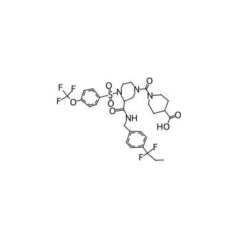 CCC(F)(F)c1ccc(CNC(=O)C2CN(C(=O)N3CCC(C(=O)O)CC3)CCN2S(=O)(=O)c2ccc(OC(F)(F)F)cc2)cc1